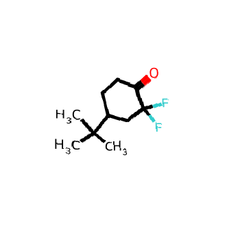 CC(C)(C)C1CCC(=O)C(F)(F)C1